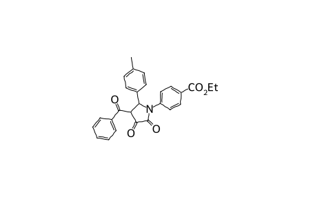 CCOC(=O)c1ccc(N2C(=O)C(=O)C(C(=O)c3ccccc3)C2c2ccc(C)cc2)cc1